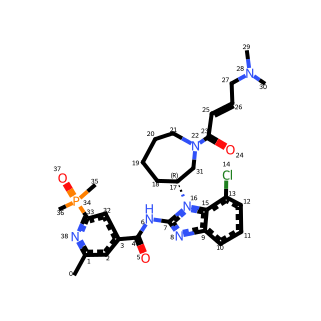 Cc1cc(C(=O)Nc2nc3cccc(Cl)c3n2[C@@H]2CCCCN(C(=O)C=CCN(C)C)C2)cc(P(C)(C)=O)n1